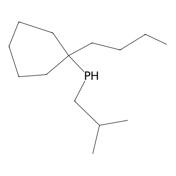 CCCCC1(PCC(C)C)CCCCC1